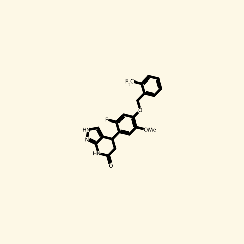 COc1cc(C2CC(=O)Nc3n[nH]cc32)c(F)cc1OCc1ccccc1C(F)(F)F